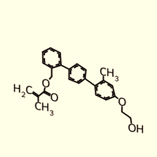 C=C(C)C(=O)OCc1ccccc1-c1ccc(-c2ccc(OCCO)cc2C)cc1